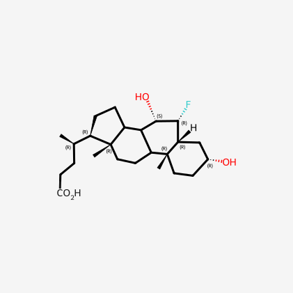 C[C@H](CCC(=O)O)[C@H]1CCC2C3C(CC[C@@]21C)[C@@]1(C)CC[C@@H](O)C[C@H]1[C@@H](F)[C@H]3O